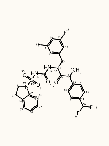 CN(C(=O)[C@H](Cc1cc(F)cc(F)c1)NC(=O)NS(=O)(=O)N1CCc2cccnc21)c1ccc(C(F)F)cc1